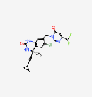 O=C1Nc2cc(Cn3cnc(C(F)F)cc3=O)c(Cl)cc2[C@@](C#CC2CC2)(C(F)(F)F)N1